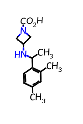 Cc1ccc(C(C)NC2CN(C(=O)O)C2)c(C)c1